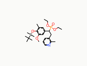 CCOP(=O)(OCC)C(Cc1cccnc1C)c1cc(C)c(O[Si](C)(C)C(C)(C)C)c(OC)c1